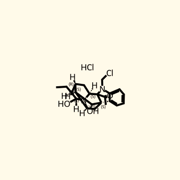 CC[C@H]1[C@@H]2C[C@@H]3N([C@@H]1O)[C@H]1C[C@@]4(c5ccccc5N(CCl)C34C(C)=O)[C@H](O)[C@@H]21.Cl